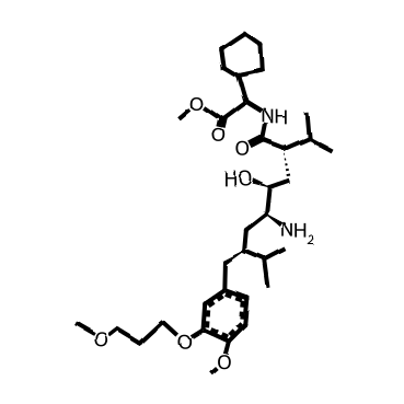 COCCCOc1cc(C[C@@H](C[C@H](N)[C@@H](O)C[C@H](C(=O)NC(C(=O)OC)C2CCCCC2)C(C)C)C(C)C)ccc1OC